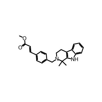 COC(=O)C=Cc1ccc(CN2CCc3c([nH]c4ccccc34)C2(C)C)cc1